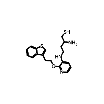 NC(CS)CCNc1cccnc1OCCc1csc2ccccc12